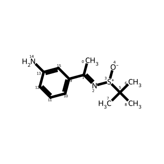 C/C(=N\[S+]([O-])C(C)(C)C)c1cccc(N)c1